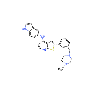 CN1CCN(Cc2cccc(-c3cc4c(Nc5ccc6[nH]ccc6c5)ccnc4s3)c2)CC1